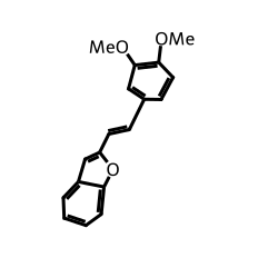 COc1ccc(C=Cc2cc3ccccc3o2)cc1OC